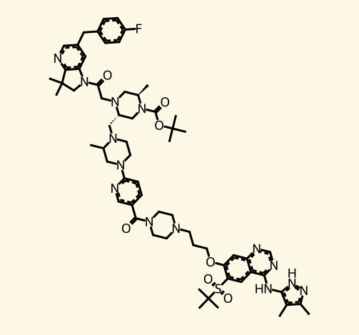 Cc1n[nH]c(Nc2ncnc3cc(OCCCN4CCN(C(=O)c5ccc(N6CCN(C[C@H]7CN(C(=O)OC(C)(C)C)[C@H](C)CN7CC(=O)N7CC(C)(C)c8ncc(Cc9ccc(F)cc9)cc87)C(C)C6)nc5)CC4)c(S(=O)(=O)C(C)(C)C)cc23)c1C